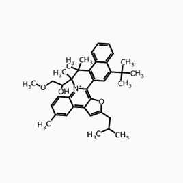 COCC(O)C1(C)[n+]2c(c3oc(CC(C)C)cc3c3cc(C)ccc32)-c2cc(C(C)(C)C)c3ccccc3c2C1(C)C